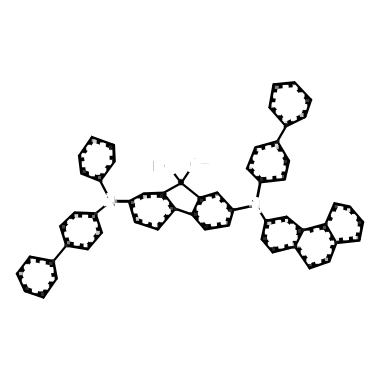 CC1(C)c2cc(N(c3ccccc3)c3ccc(-c4ccccc4)cc3)ccc2-c2ccc(N(c3ccc(-c4ccccc4)cc3)c3ccc4ccc5ccccc5c4c3)cc21